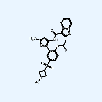 CC(=O)N1CC(S(=O)(=O)c2ccc(OC(F)F)c(-c3nn(C)cc3NC(=O)c3cnn4cccnc34)c2)C1